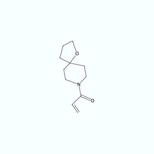 C=CC(=O)N1CCC2(CCCO2)CC1